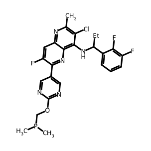 CCC(Nc1c(Cl)c(C)nc2cc(F)c(-c3cnc(OCP(C)C)nc3)nc12)c1cccc(F)c1F